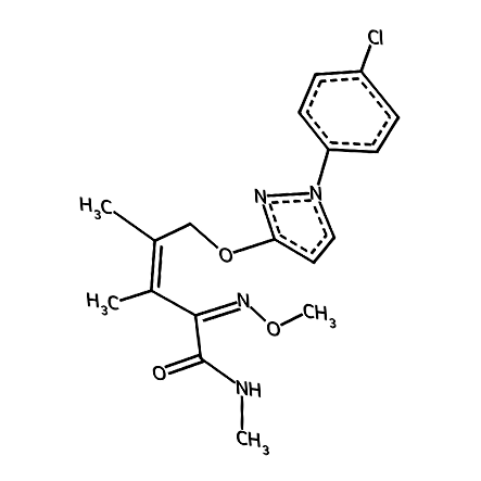 CNC(=O)C(=NOC)C(C)=C(C)COc1ccn(-c2ccc(Cl)cc2)n1